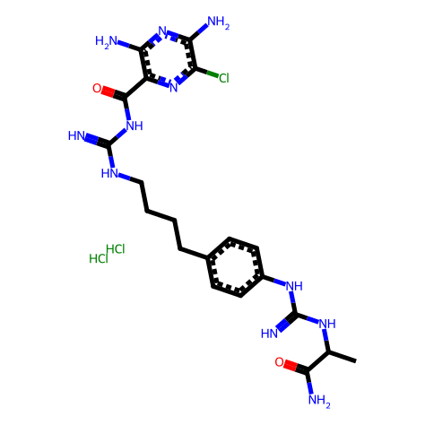 CC(NC(=N)Nc1ccc(CCCCNC(=N)NC(=O)c2nc(Cl)c(N)nc2N)cc1)C(N)=O.Cl.Cl